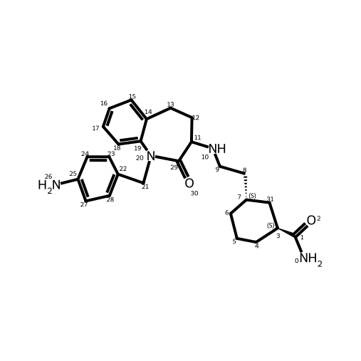 NC(=O)[C@H]1CCC[C@H](CCNC2CCc3ccccc3N(Cc3ccc(N)cc3)C2=O)C1